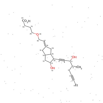 CCC#CCC(C)C(O)C#CC1C(O)CC2C/C(=C\COCCCC(=O)O)CC21